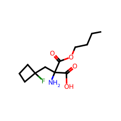 CCCCOC(=O)C(N)(CC1(F)CCC1)C(=O)O